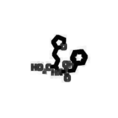 O=C(O)C(CCC1CCCO1)NP(=O)(O)Cc1ccccc1